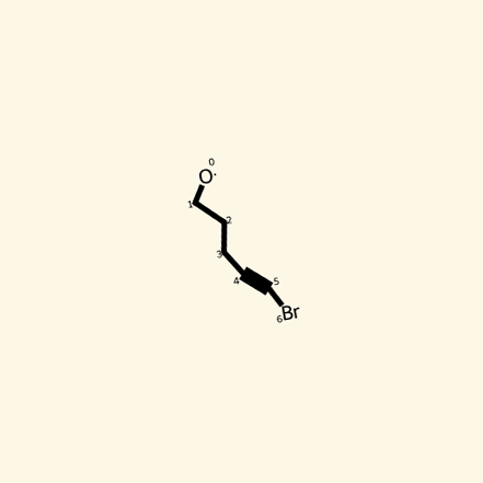 [O]CCCC#CBr